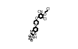 CS(=O)(=O)Nc1cnc2cc(N3CCC(Oc4cc(Cl)c(OCCCl)c(C#N)c4)CC3)ccc2n1